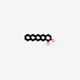 O=C1C=Cc2cc3cc4cc5ccccc5cc4cc3cc2C1=O